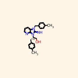 Cc1ccc(C[C@@H](CO)n2c(=N)n(Cc3ccc(C)cc3)c3cccnc32)cc1